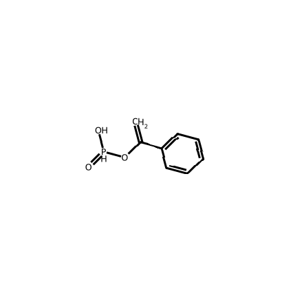 C=C(O[PH](=O)O)c1ccccc1